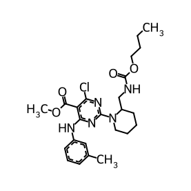 CCCCOC(=O)NCC1CCCCN1c1nc(Cl)c(C(=O)OC)c(Nc2cccc(C)c2)n1